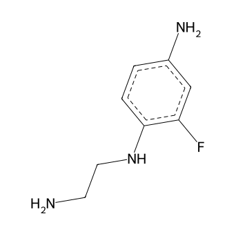 NCCNc1ccc(N)cc1F